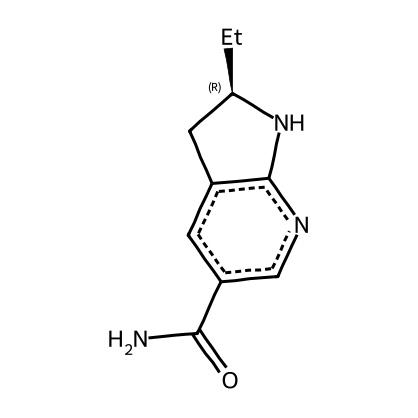 CC[C@@H]1Cc2cc(C(N)=O)cnc2N1